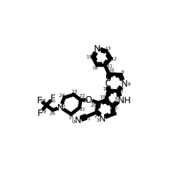 N#Cc1ncc2[nH]c3ncc(-c4ccncc4)cc3c2c1OC1CCN(CC(F)(F)F)CC1